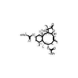 CCCCCCC(=O)O[C@H]1C[C@H](C)[C@@]2(C)[C@H]([C@H]1C)[C@H](C)[C@]13O[C@]1(C)C(=O)O[C@H]3/C=C(/C)C[C@H](OC(=O)CCC)[C@@H]2C